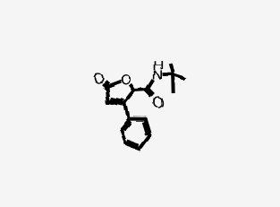 CC(C)(C)NC(=O)C1OC(=O)C=C1c1ccccc1